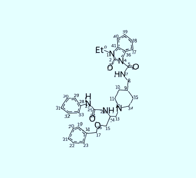 CCn1c(=O)n(C(=O)NCC2CCN(CC(COCc3ccccc3)NC(=O)Nc3ccccc3)CC2)c2ccccc21